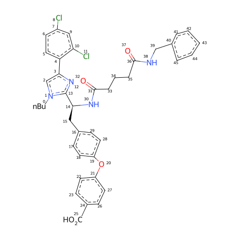 CCCCn1cc(-c2ccc(Cl)cc2Cl)nc1[C@H](Cc1ccc(Oc2ccc(C(=O)O)cc2)cc1)NC(=O)CCCC(=O)NCc1ccccc1